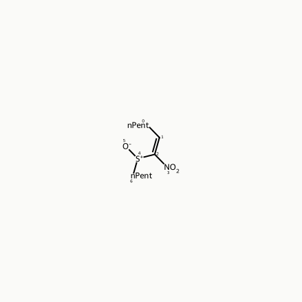 CCCCCC=C([N+](=O)[O-])[S+]([O-])CCCCC